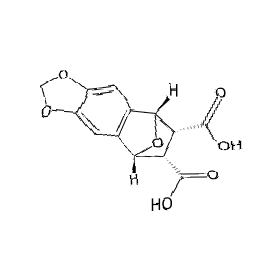 O=C(O)[C@@H]1[C@H](C(=O)O)[C@H]2O[C@@H]1c1cc3c(cc12)OCO3